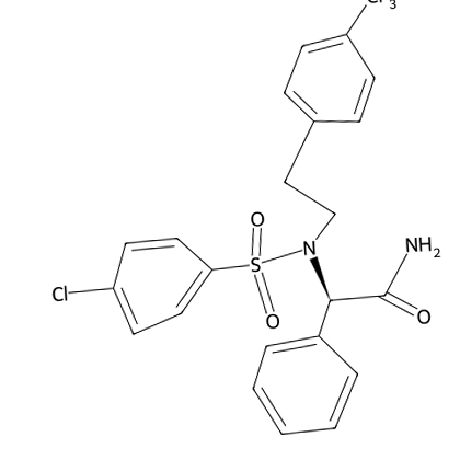 NC(=O)[C@@H](c1ccccc1)N(CCc1ccc(C(F)(F)F)cc1)S(=O)(=O)c1ccc(Cl)cc1